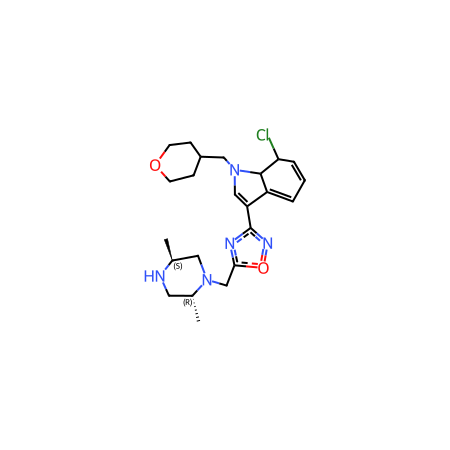 C[C@@H]1CN[C@@H](C)CN1Cc1nc(C2=CN(CC3CCOCC3)C3C2=CC=CC3Cl)no1